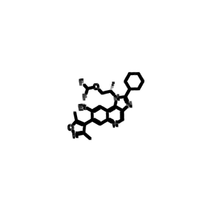 CCc1cc2c(cc1-c1c(C)noc1C)ncc1nc(C3CCCCC3)n([C@@H](C)COC(F)F)c12